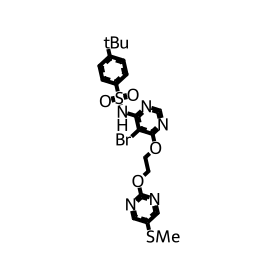 CSc1cnc(OCCOc2ncnc(NS(=O)(=O)c3ccc(C(C)(C)C)cc3)c2Br)nc1